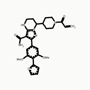 C=CC(=O)N1CCC(C2CCNc3c(C(N)=O)c(-c4cc(OC)c(-c5ccco5)c(OC)c4)nn32)CC1